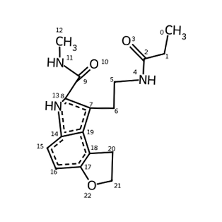 CCC(=O)NCCc1c(C(=O)NC)[nH]c2ccc3c(c12)CCO3